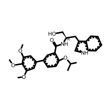 COc1cc(-c2ccc(OC(C)C)c(C(=O)N[C@@H](CO)Cc3c[nH]c4ccccc34)c2)cc(OC)c1OC